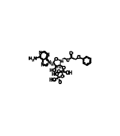 Nc1ncnc2c1ncn2[C@@H]1O[C@H](COC(=O)COc2ccccc2)[C@@H](OP(=O)(O)OP(=O)(O)O)[C@H]1O